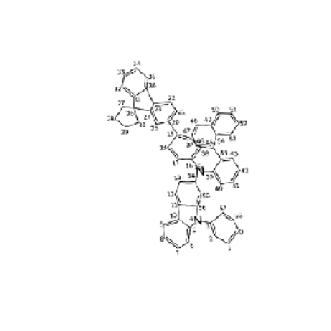 c1ccc(-n2c3ccccc3c3ccc(N(c4ccc(-c5ccc6c(c5)C5(CCCC5)c5ccccc5-6)cc4)c4ccccc4-c4cccc5ccccc45)cc32)cc1